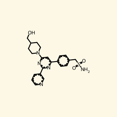 NS(=O)(=O)Cc1ccc(-c2cc(N3CCC(CO)CC3)nc(-c3cccnc3)n2)cc1